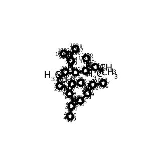 CC(C)(C)c1ccc2c(c1)c1ccc(-c3ccc4c5cc(C(C)(C)Cc6cccc(-n7c8ccccc8c8cc(-n9c%10ccc(-c%11ccccc%11)cc%10c%10ccc(-c%11ccc%12c%13cc(-c%14ccccc%14)ccc%13n(-c%13ccccc%13)c%12c%11)cc%109)ccc87)c6)ccc5n(-c5ccc6c(c5)c5ccccc5n6-c5ccccc5)c4c3)cc1n2-c1ccccc1